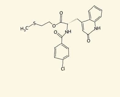 CSCCOC(=O)[C@H](Cc1cc(=O)[nH]c2ccccc12)NC(=O)c1ccc(Cl)cc1